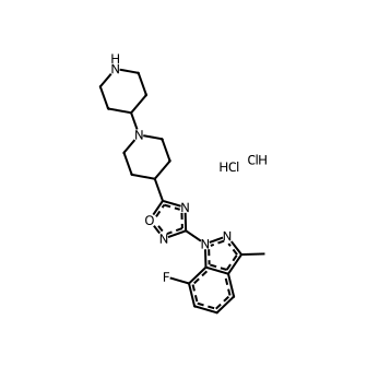 Cc1nn(-c2noc(C3CCN(C4CCNCC4)CC3)n2)c2c(F)cccc12.Cl.Cl